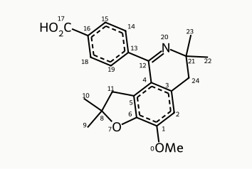 COc1cc2c(c3c1OC(C)(C)C3)C(c1ccc(C(=O)O)cc1)=NC(C)(C)C2